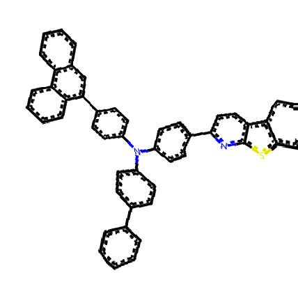 c1ccc(-c2ccc(N(c3ccc(-c4ccc5c(n4)sc4ccccc45)cc3)c3ccc(-c4cc5ccccc5c5ccccc45)cc3)cc2)cc1